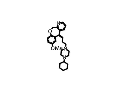 COc1ccc2c(c1)C(=CCCN1CCN(C3CCCCC3)CC1)c1cccnc1CO2